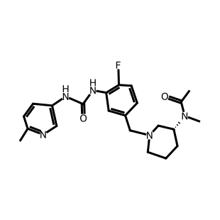 CC(=O)N(C)[C@@H]1CCCN(Cc2ccc(F)c(NC(=O)Nc3ccc(C)nc3)c2)C1